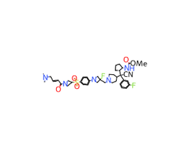 COC(=O)N[C@H]1CCC[C@@H]1[C@](C#N)(c1cccc(F)c1)C1CCN(CC2(F)CN(c3ccc(S(=O)(=O)C4CN(C(=O)/C=C/CN(C)C)C4)cc3)C2)CC1